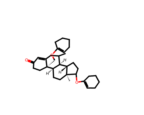 CC1CC2=CC(=O)CC[C@]2(COC2=CCCCC2)[C@@H]2CC[C@]3(C)C(OC4=CCCCC4)CC[C@H]3[C@H]12